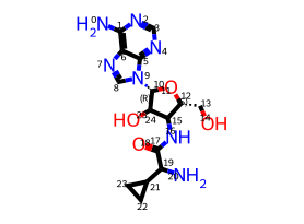 Nc1ncnc2c1ncn2[C@@H]1O[C@H](CO)C(NC(=O)C(N)C2CC2)C1O